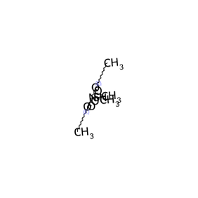 CCCCCCCCCC/C=C/COC(=O)CCCN(CCCC(=O)OC/C=C/CCCCCCCCCC)C(=O)SCCN(C)C